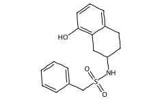 O=S(=O)(Cc1ccccc1)NC1CCc2cccc(O)c2C1